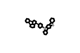 c1ccc2c(c1)-c1cccc3c(-c4ccc(-n5c6ccccc6c6cc7sc8ccccc8c7cc65)cc4)ccc-2c13